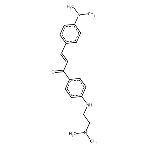 CN(C)CCNc1ccc(C(=O)C=Cc2ccc(N(C)C)cc2)cc1